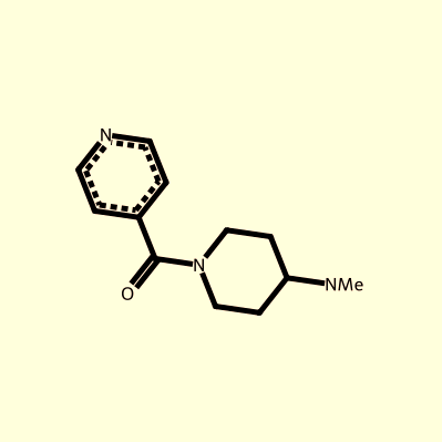 CNC1CCN(C(=O)c2ccncc2)CC1